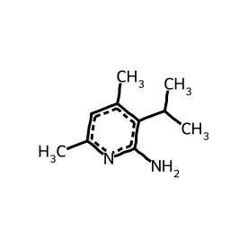 Cc1cc(C)c(C(C)C)c(N)n1